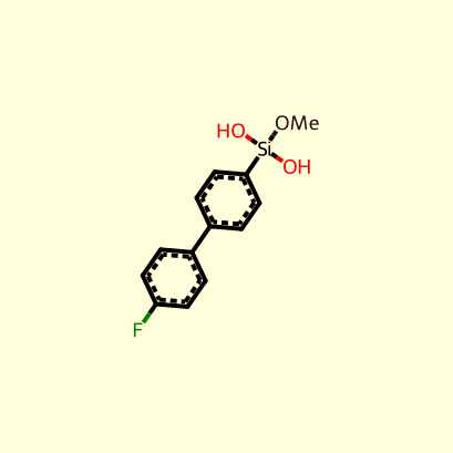 CO[Si](O)(O)c1ccc(-c2ccc(F)cc2)cc1